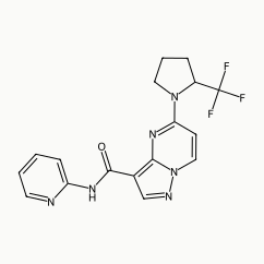 O=C(Nc1ccccn1)c1cnn2ccc(N3CCCC3C(F)(F)F)nc12